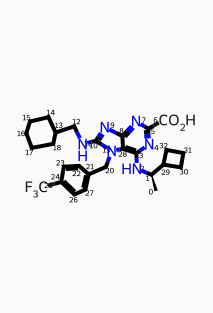 C[C@@H](Nc1nc(C(=O)O)nc2nc(NCC3CCCCC3)n(Cc3ccc(C(F)(F)F)cc3)c12)C1CCC1